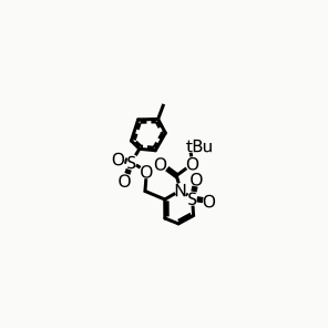 Cc1ccc(S(=O)(=O)OCC2=CC=CS(=O)(=O)N2C(=O)OC(C)(C)C)cc1